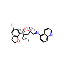 CC(C)(CC(O)(C=Nc1cccc2ncccc12)C(F)(F)F)c1cc(F)cc2c1OCC2